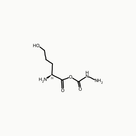 NNC(=O)OC(=O)[C@@H](N)CCCO